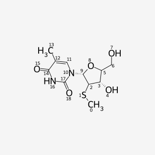 CSC1[C@@H](O)C(CO)O[C@H]1n1cc(C)c(=O)[nH]c1=O